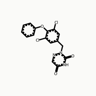 O=c1cnn(Cc2cc(Cl)c(Oc3ccccc3)c(Cl)c2)c(=O)[nH]1